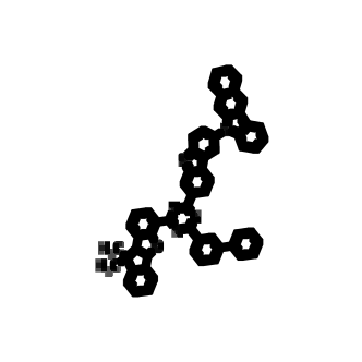 CC1(C)c2ccccc2C2Oc3c(-c4nc(-c5cccc(-c6ccccc6)c5)nc(-c5ccc6c(c5)sc5ccc(-n7c8ccccc8c8cc9ccccc9cc87)cc56)n4)cccc3C21